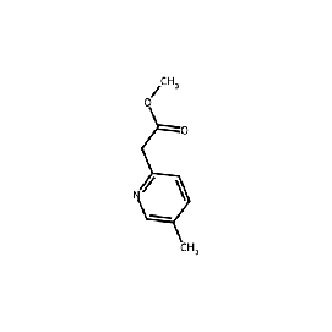 COC(=O)Cc1ccc(C)cn1